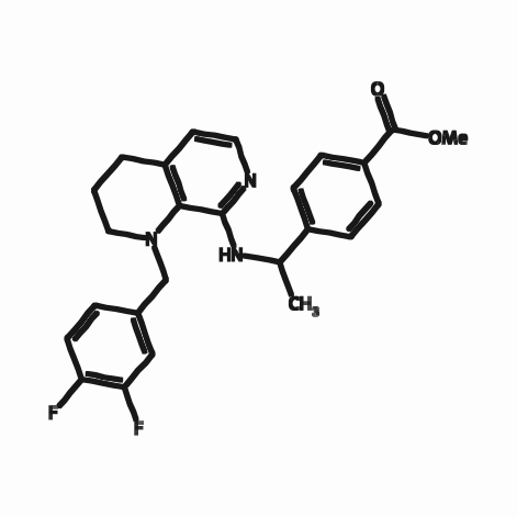 COC(=O)c1ccc(C(C)Nc2nccc3c2N(Cc2ccc(F)c(F)c2)CCC3)cc1